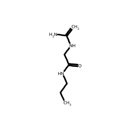 C=C(N)NCC(=O)NCCC